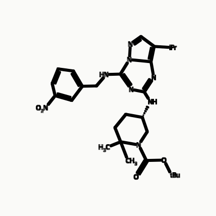 CC(C)c1cnn2c(NCc3cccc([N+](=O)[O-])c3)nc(N[C@H]3CCC(C)(C)N(C(=O)OC(C)(C)C)C3)nc12